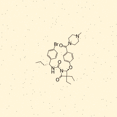 CCC[C@@H](NC(=O)N1C(=O)C(CC)(CC)[C@@H]1Oc1ccc(C(=O)N2CCN(C)CC2)cc1)c1ccc(Br)cc1